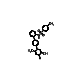 Cc1ccc(S(=O)(=O)Nc2ccccc2-c2ccc(-n3cc(O)c(=O)cc3C)cc2)cc1